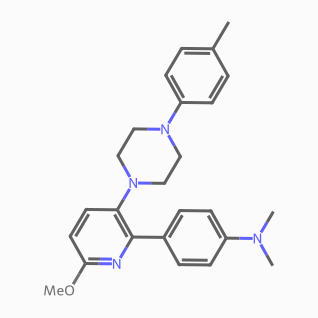 COc1ccc(N2CCN(c3ccc(C)cc3)CC2)c(-c2ccc(N(C)C)cc2)n1